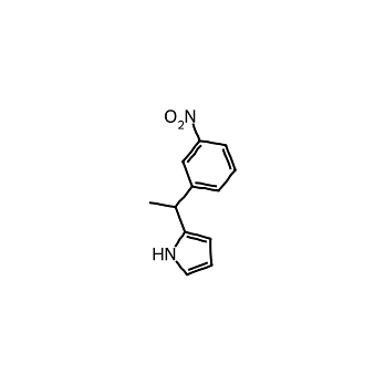 CC(c1cccc([N+](=O)[O-])c1)c1ccc[nH]1